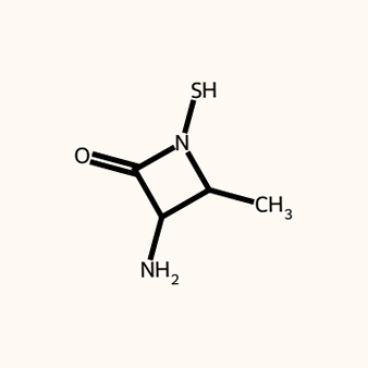 CC1C(N)C(=O)N1S